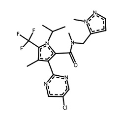 Cc1c(-c2ncc(Cl)cn2)c(C(=O)N(C)Cc2ccnn2C)n(C(C)C)c1C(F)(F)F